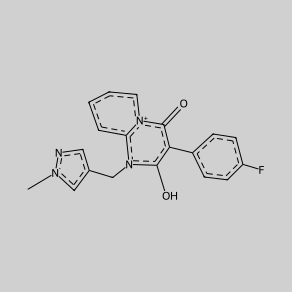 Cn1cc(Cn2c(O)c(-c3ccc(F)cc3)c(=O)[n+]3ccccc23)cn1